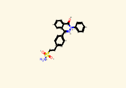 NS(=O)(=O)CCc1ccc(-c2nn(-c3ccccc3)c(=O)c3ccccc23)cc1